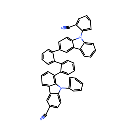 N#Cc1ccc2c(c1)c1cccc(-c3ccccc3-c3ccccc3-c3ccc4c(c3)c3ccccc3n4-c3ccccc3C#N)c1n2-c1ccccc1